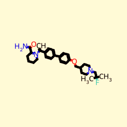 C=C(c1ccc(-c2ccc(OCC3CCN(CC(C)(C)F)CC3)cc2)cc1)N1CCCCC1C(N)=O